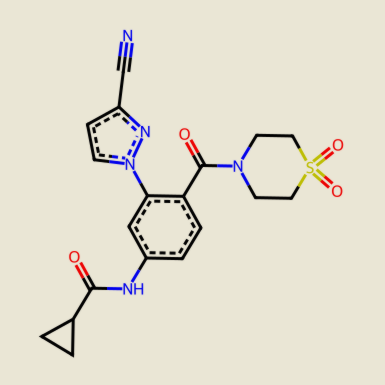 N#Cc1ccn(-c2cc(NC(=O)C3CC3)ccc2C(=O)N2CCS(=O)(=O)CC2)n1